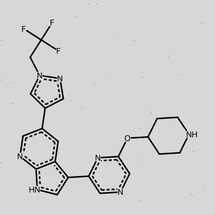 FC(F)(F)Cn1cc(-c2cnc3[nH]cc(-c4cncc(OC5CCNCC5)n4)c3c2)cn1